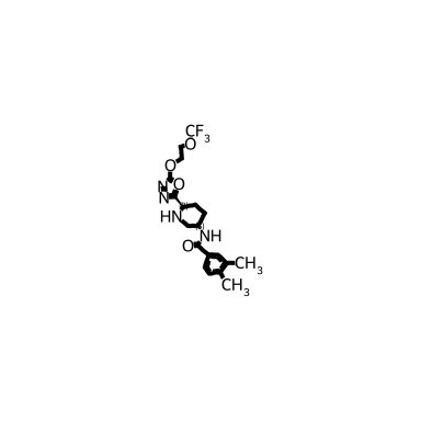 Cc1ccc(C(=O)N[C@H]2CC[C@H](c3nnc(OCCOC(F)(F)F)o3)NC2)cc1C